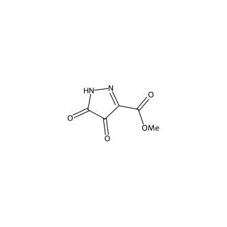 COC(=O)C1=NNC(=O)C1=O